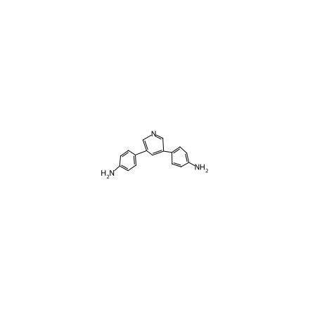 Nc1ccc(-c2cncc(-c3ccc(N)cc3)c2)cc1